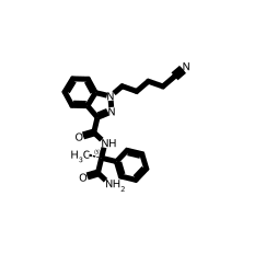 C[C@@](NC(=O)c1nn(CCCCC#N)c2ccccc12)(C(N)=O)c1ccccc1